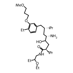 CCOC(CC)CNC(=O)[C@@H](CC(O)[C@@H](N)C[C@H](Cc1ccc(CC)c(OCCCOC)c1)C(C)C)C(C)C